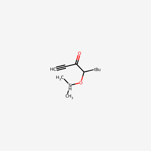 C#CC(=O)C(O[SiH](C)C)C(C)(C)C